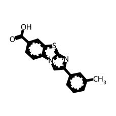 Cc1cccc(-c2cn3c(n2)sc2cc(C(=O)O)ccc23)c1